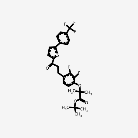 CC(C)(C)OC(=O)C(C)(C)Oc1ccc(CCC(=O)c2ccc(-c3ccc(C(F)(F)F)cc3)s2)c(F)c1F